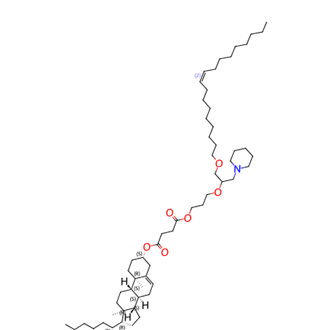 CCCCCCCC/C=C\CCCCCCCCOCC(CN1CCCCC1)OCCCOC(=O)CCC(=O)O[C@H]1CC[C@@]2(C)C(=CC[C@H]3[C@@H]4CC[C@H]([C@H](C)CCCC(C)C)[C@@]4(C)CC[C@@H]32)C1